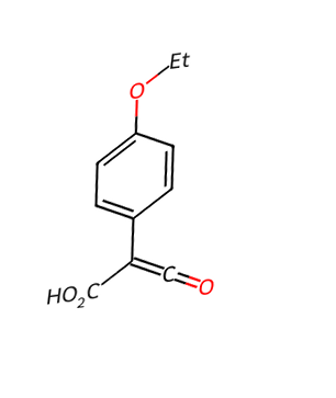 CCOc1ccc(C(=C=O)C(=O)O)cc1